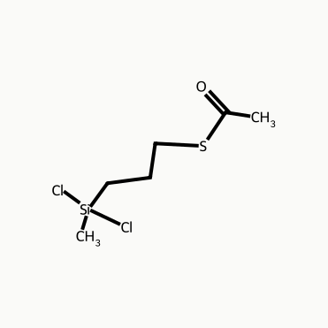 CC(=O)SCCC[Si](C)(Cl)Cl